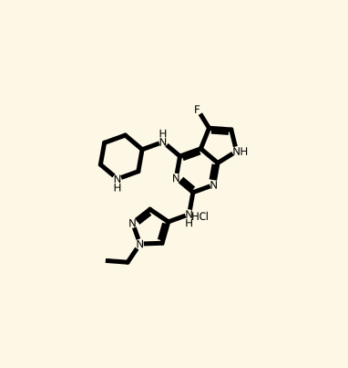 CCn1cc(Nc2nc(NC3CCCNC3)c3c(F)c[nH]c3n2)cn1.Cl